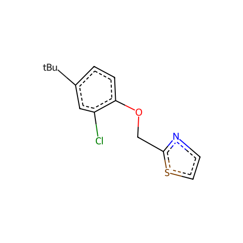 CC(C)(C)c1ccc(OCc2nccs2)c(Cl)c1